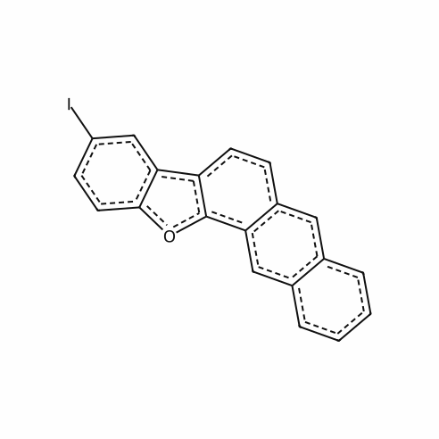 Ic1ccc2oc3c4cc5ccccc5cc4ccc3c2c1